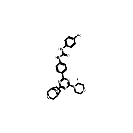 CC(=O)c1ccc(NC(=O)Nc2ccc(-c3nc(N4C5CCC4COC5)nc(N4CCOC[C@H]4C)n3)cc2)cc1